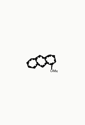 COc1cccc2cc3[c]cccc3cc12